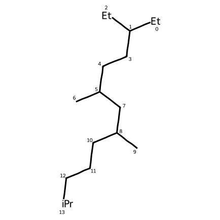 CCC(CC)CCC(C)CC(C)CCCC(C)C